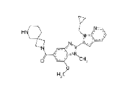 COc1cc(C(=O)N2CC3(CCCNC3)C2)cc2nc(-c3cc4cccnc4n3CC3CC3)n(C)c12